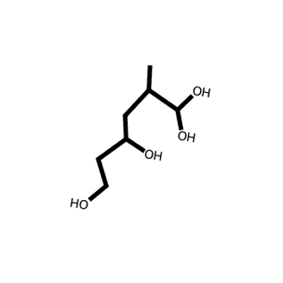 CC(CC(O)CCO)C(O)O